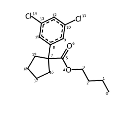 CCCCOC(=O)C1(c2cc(Cl)cc(Cl)c2)CCCC1